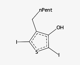 CCCCCCc1c(I)sc(I)c1O